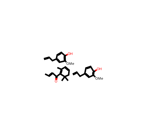 C/C=C/C(=O)C1=C(C)C=CCC1(C)C.C=CCc1ccc(O)c(OC)c1.C=CCc1ccc(O)c(OC)c1